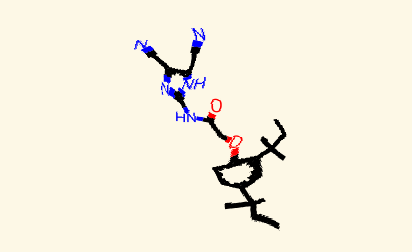 CCC(C)(C)c1ccc(OCC(=O)Nc2nc(C#N)c(C#N)[nH]2)c(C(C)(C)CC)c1